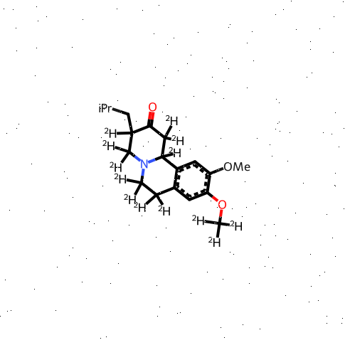 [2H]C([2H])([2H])Oc1cc2c(cc1OC)C1([2H])N(C([2H])([2H])C([2H])(CC(C)C)C(=O)C1([2H])[2H])C([2H])([2H])C2([2H])[2H]